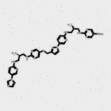 CSc1cnc(NCC(C)CNc2ccc(-n3ccc(CSc4cnc(NC[C@H](C)CNc5ccc(-n6ccnc6)cn5)nc4)n3)cn2)nc1